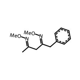 CON=C(C)CC(Cc1ccccc1)=NOC